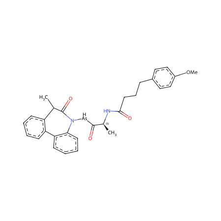 COc1ccc(CCCC(=O)N[C@@H](C)C(=O)[AsH]N2C(=O)C(C)c3ccccc3-c3ccccc32)cc1